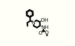 CCC(c1ccccc1)N1CC[C@@H](NC(=O)OC)[C@H](O)C1